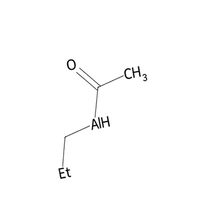 CC[CH2][AlH][C](C)=O